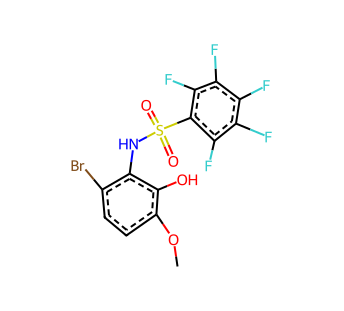 COc1ccc(Br)c(NS(=O)(=O)c2c(F)c(F)c(F)c(F)c2F)c1O